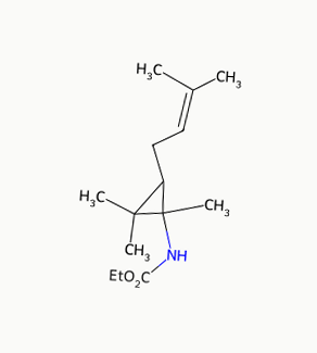 CCOC(=O)NC1(C)C(CC=C(C)C)C1(C)C